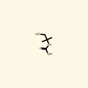 COC(=O)NC(C)(C)CC=O